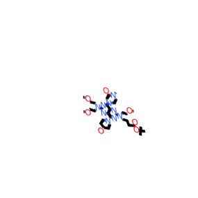 COCCN(CCOC)c1nc(N2CCN(C)C(=O)C2)c2nc(N(CCCC(=O)OC(C)(C)C)CCOC)nc(N3CCC(OC)CC3)c2n1